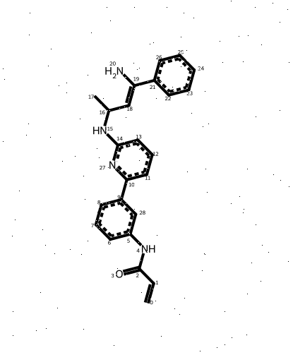 C=CC(=O)Nc1cccc(-c2cccc(NC(C)/C=C(\N)c3ccccc3)n2)c1